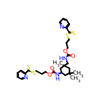 CC1(C)CC(NC(=O)OCCCSC(=S)c2ccccn2)CC(C)(CNC(=O)OCCCSC(=S)c2ccccn2)C1